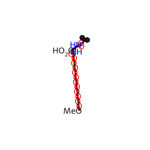 COCCOCCOCCOCCOCCOCCOCCOCCOCCOCCOCCOCCC(=O)N[C@H](CCCCNC(=O)OCC1c2ccccc2-c2ccccc21)C(=O)O